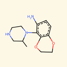 CC1CNCCN1c1c(N)ccc2c1OCCO2